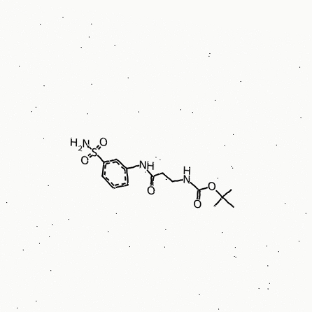 CC(C)(C)OC(=O)NCCC(=O)Nc1cccc(S(N)(=O)=O)c1